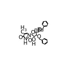 CCCC[C@]1(COCc2ccccc2)O[C@@H](n2cc(C)c(=O)[nH]c2=O)[C@H](O)[C@@H]1OCc1ccccc1